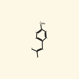 COc1ccc(C=C(C)C)cc1